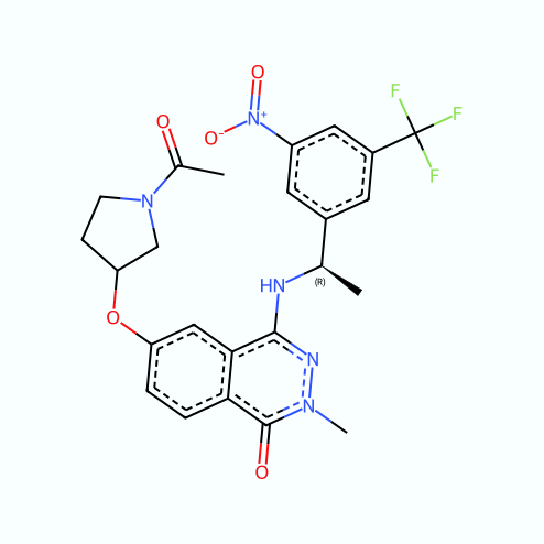 CC(=O)N1CCC(Oc2ccc3c(=O)n(C)nc(N[C@H](C)c4cc([N+](=O)[O-])cc(C(F)(F)F)c4)c3c2)C1